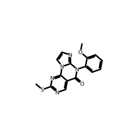 COc1ccccc1-n1c(=O)c2cnc(SC)nc2n2ccnc12